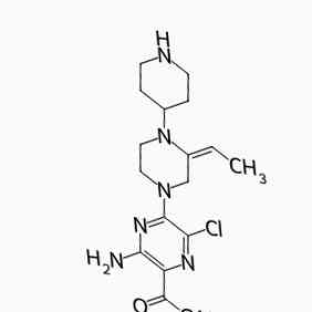 C/C=C1\CN(c2nc(N)c(C(=O)OC)nc2Cl)CCN1C1CCNCC1